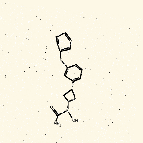 NC(=O)N(O)[C@H]1C[C@H](c2cccc(Sc3ccccc3)c2)C1